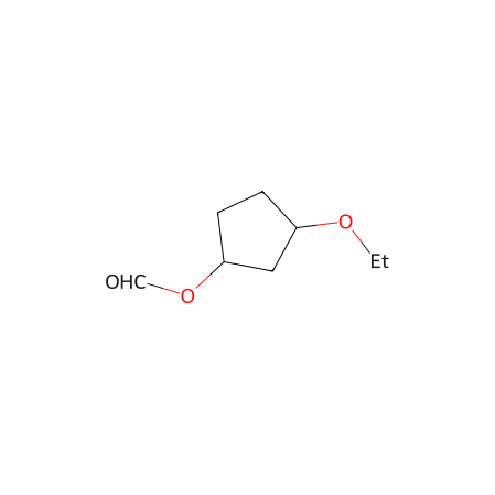 CCOC1CCC(OC=O)C1